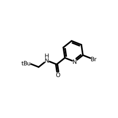 CC(C)(C)CNC(=O)c1cccc(Br)n1